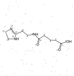 O=C(O)CCCC(=O)NCCC1=NCCN1